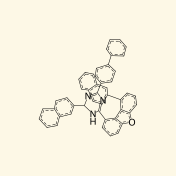 c1ccc(-c2ccc(C3=NC(c4ccc5ccccc5c4)NC(c4cccc5oc6cccc(-c7ccc8ccccc8c7)c6c45)=N3)cc2)cc1